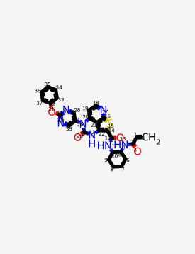 C=CC(=O)NC1CCCCC1NC(=O)c1sc2nccc3c2c1NC(=O)N3c1cnc(Oc2ccccc2)nc1